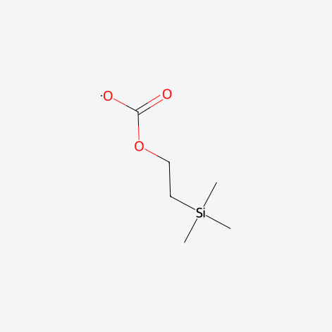 C[Si](C)(C)CCOC([O])=O